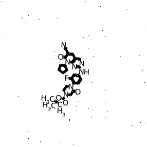 CC(C)(C)OC(=O)N1CCN(c2ccc(Nc3ncc4cc(C#N)c(=O)n(C5CCCC5)c4n3)cc2F)C(=O)C1